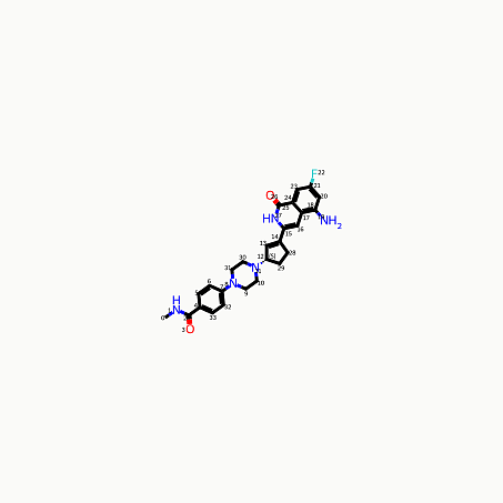 CNC(=O)c1ccc(N2CCN([C@@H]3C=C(c4cc5c(N)cc(F)cc5c(=O)[nH]4)CC3)CC2)cc1